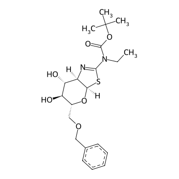 CCN(C(=O)OC(C)(C)C)C1=N[C@@H]2[C@@H](O)[C@H](O)[C@@H](COCc3ccccc3)O[C@@H]2S1